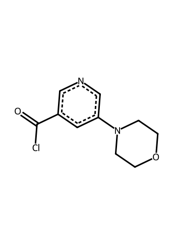 O=C(Cl)c1cncc(N2CCOCC2)c1